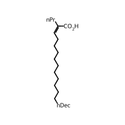 CCCCCCCCCCCCCCCCCCCCC=C(CCC)C(=O)O